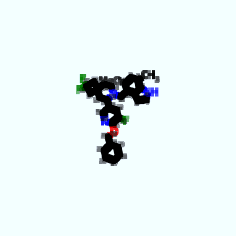 COc1cc(C)c2[nH]ccc2c1CN1CCC2(CC1c1cnc(OCc3ccccc3)c(F)c1)CC(F)(F)C2